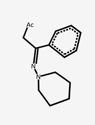 CC(=O)CC(=NN1CCCCC1)c1ccccc1